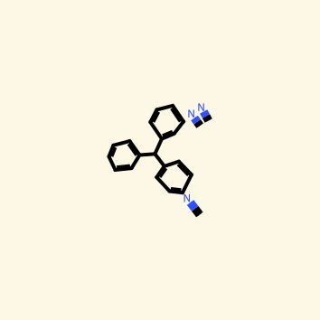 C#N.C#N.C#N.c1ccc(C(c2ccccc2)c2ccccc2)cc1